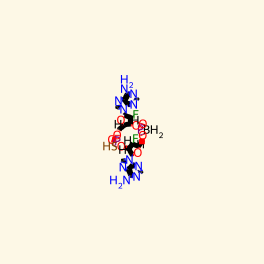 BP1(=O)OC[C@H]2O[C@@H](n3cnc4c(N)ncnc43)[C@H](OP(=O)(S)OC[C@H]3O[C@@H](n4cnc5c(N)ncnc54)[C@H](F)[C@@H]3O1)[C@@H]2F